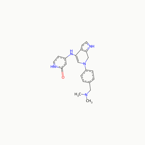 CN(C)Cc1ccc(N2C=C(Nc3cc[nH]c(=O)c3)c3cc[nH]c3C2)cc1